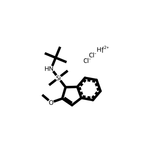 COC1=Cc2ccccc2C1[Si](C)(C)NC(C)(C)C.[Cl-].[Cl-].[Hf+2]